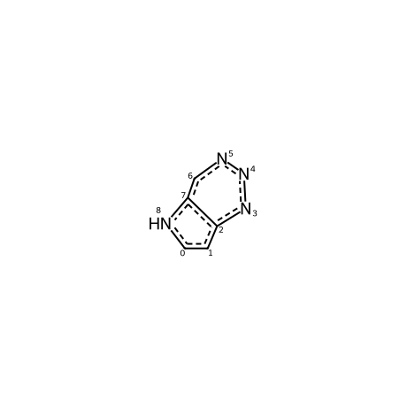 c1cc2nnncc2[nH]1